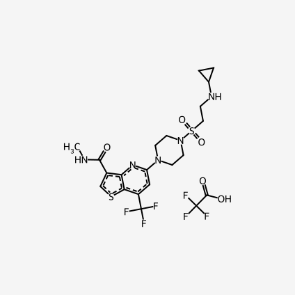 CNC(=O)c1csc2c(C(F)(F)F)cc(N3CCN(S(=O)(=O)CCNC4CC4)CC3)nc12.O=C(O)C(F)(F)F